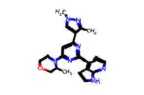 Cc1nn(C)cc1-c1cc(N2CCOCC2C)nc(-c2ccnc3[nH]ccc23)n1